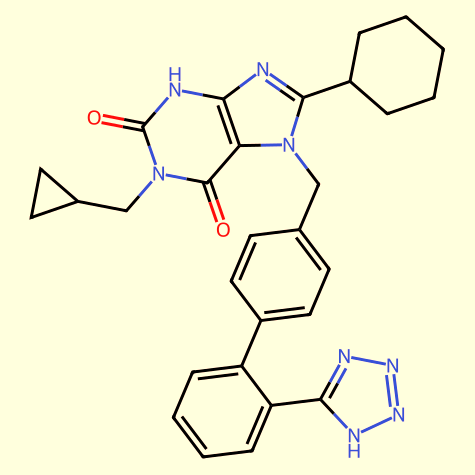 O=c1[nH]c2nc(C3CCCCC3)n(Cc3ccc(-c4ccccc4-c4nnn[nH]4)cc3)c2c(=O)n1CC1CC1